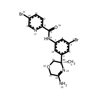 C[C@@]1(c2cc(Br)cc(NC(=O)c3ccc(Br)cn3)c2)COCC(N)=N1